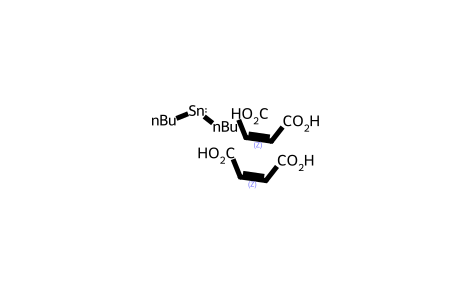 CCC[CH2][Sn][CH2]CCC.O=C(O)/C=C\C(=O)O.O=C(O)/C=C\C(=O)O